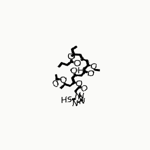 CCCC1OC(CC)CC(CC2CC(CC(O)CC(CC(C)OC(C)=O)OC(=O)Cn3nnnc3S)OC(C)O2)O1